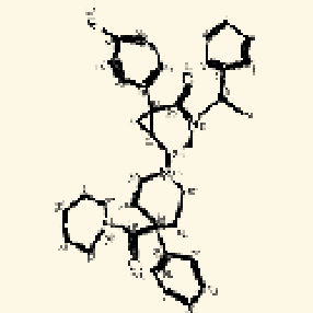 CC(c1ccccc1)N(C)C(=O)C1(c2ccc(F)cc2)CC1CN1CCC(C(=O)N2CCCCC2)(c2ccccc2)CC1